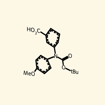 COc1ccc(N(C(=O)OC(C)(C)C)c2cccc(C(=O)O)c2)cc1